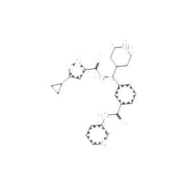 O=C(Nc1cccnc1)c1cccc([C@@H](NC(=O)c2cc(C3CC3)on2)C2CCNCC2)c1